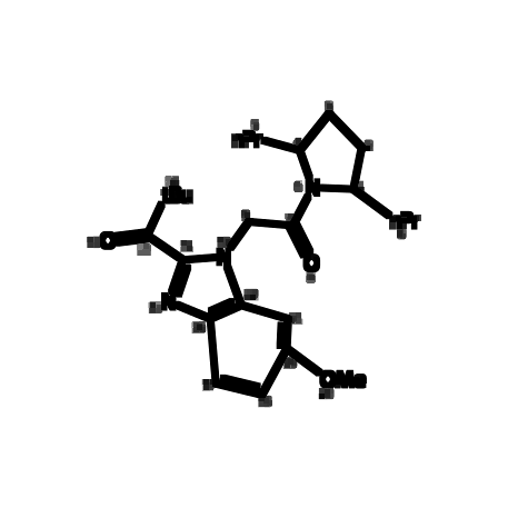 CCCC1CCC(CCC)N1C(=O)Cn1c(C(=O)C(C)(C)C)nc2ccc(OC)cc21